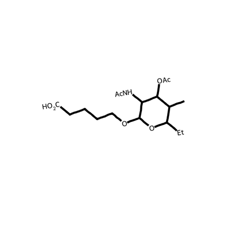 CCC1OC(OCCCCC(=O)O)C(NC(C)=O)C(OC(C)=O)C1C